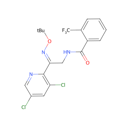 CC(C)(C)ON=C(CNC(=O)c1ccccc1C(F)(F)F)c1ncc(Cl)cc1Cl